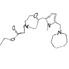 CCOC(=O)CN1CCOC(c2ccc(CN3CCCCC3)n2C)C1